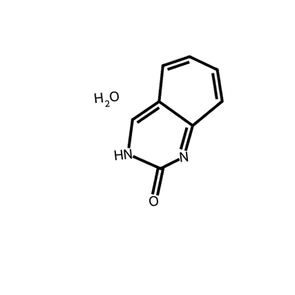 O.O=c1nc2ccccc2c[nH]1